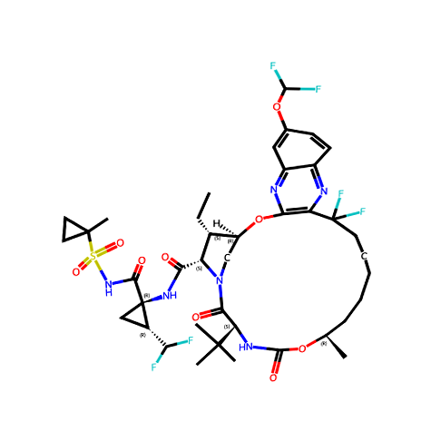 CC[C@@H]1[C@@H]2CN(C(=O)[C@H](C(C)(C)C)NC(=O)O[C@H](C)CCCCCC(F)(F)c3nc4ccc(OC(F)F)cc4nc3O2)[C@@H]1C(=O)N[C@]1(C(=O)NS(=O)(=O)C2(C)CC2)C[C@H]1C(F)F